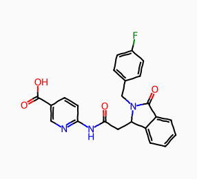 O=C(CC1c2ccccc2C(=O)N1Cc1ccc(F)cc1)Nc1ccc(C(=O)O)cn1